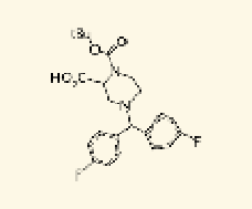 CC(C)(C)OC(=O)N1CCN(C(c2ccc(F)cc2)c2ccc(F)cc2)CC1C(=O)O